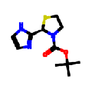 CC(C)(C)OC(=O)N1CCS[C@H]1c1ncc[nH]1